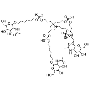 CC(=O)NC1C(OCCCCCCOP(=O)(S)OCCCC(CCCOP(=O)(S)OCCCCCCOC2OC(CO)C(O)C(O)C2NC(C)=O)(CCCOP(=O)(S)OCCCCCCOC2OC(CO)C(O)C(O)C2NC(C)=O)N(C)CCCOP(=O)(O)S)OC(CO)C(O)C1O